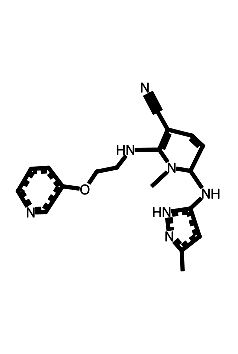 Cc1cc(NC2C=CC(C#N)=C(NCCOc3cccnc3)N2C)[nH]n1